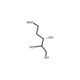 COCC[C@H](O)C(O)CO